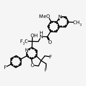 COc1cc(C(=O)NCC(O)(c2cc3c(c(-c4ccc(F)cc4)n2)OCC3(CF)CF)C(F)(F)F)cc2cc(C)cnc12